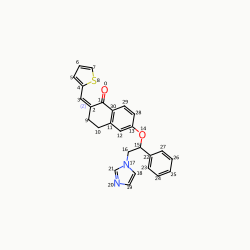 O=C1/C(=C\c2cccs2)CCc2cc(OC(Cn3ccnc3)c3ccccc3)ccc21